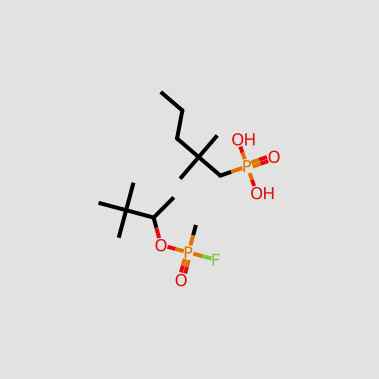 CC(OP(C)(=O)F)C(C)(C)C.CCCC(C)(C)CP(=O)(O)O